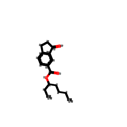 CCCCC(CC)OC(=O)c1ccc2c(c1)C(=O)CC2